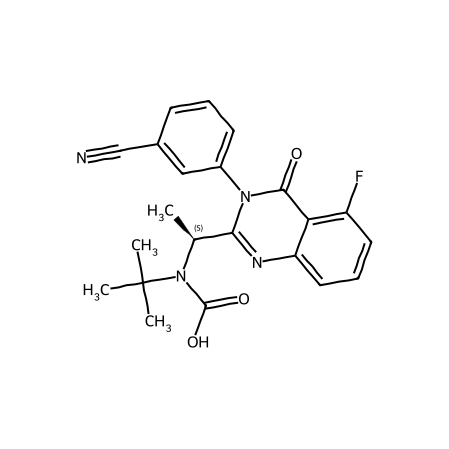 C[C@@H](c1nc2cccc(F)c2c(=O)n1-c1cccc(C#N)c1)N(C(=O)O)C(C)(C)C